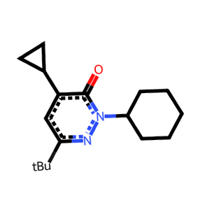 CC(C)(C)c1cc(C2CC2)c(=O)n(C2CCCCC2)n1